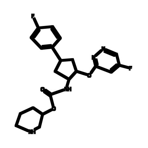 O=C(NC1CC(c2ccc(F)cc2)CC1Oc1cc(F)cnn1)OC1CCCNC1